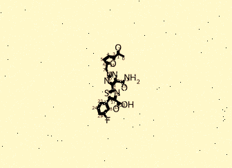 CC(=O)c1ccc(Cn2nc(C(N)=O)c(-c3nc(C(=O)O)c(-c4cccc(F)c4)s3)n2)o1